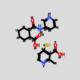 Cc1nccc(S)c1C(=O)O.O=C(O)C1CCCCC1C(=O)Nc1cccnc1